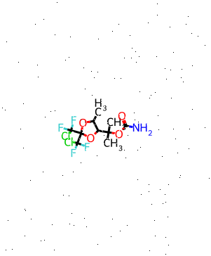 CC1OC(C(F)(F)Cl)(C(F)(F)Cl)OC1C(C)(C)OC(N)=O